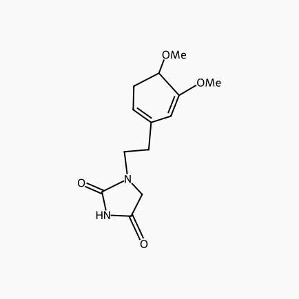 COC1=CC(CCN2CC(=O)NC2=O)=CCC1OC